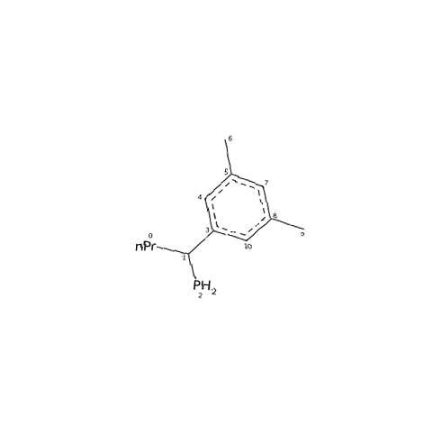 CCCC(P)c1cc(C)cc(C)c1